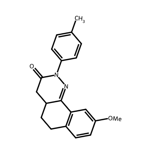 COc1ccc2c(c1)C1=NN(c3ccc(C)cc3)C(=O)CC1CC2